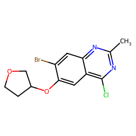 Cc1nc(Cl)c2cc(OC3CCOC3)c(Br)cc2n1